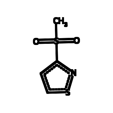 CS(=O)(=O)c1ccsn1